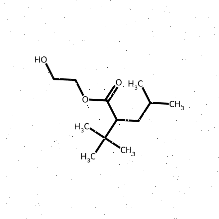 CC(C)CC(C(=O)OCCO)C(C)(C)C